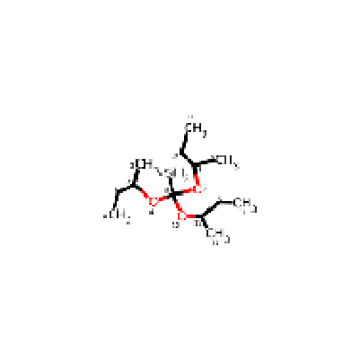 CCC(C)OC([SiH3])(OC(C)CC)OC(C)CC